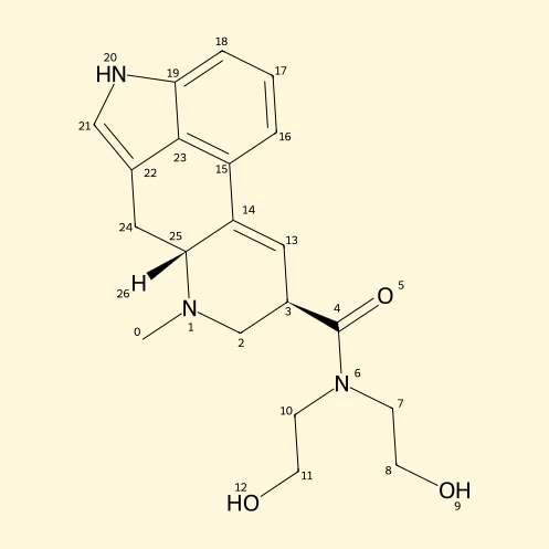 CN1C[C@H](C(=O)N(CCO)CCO)C=C2c3cccc4[nH]cc(c34)C[C@H]21